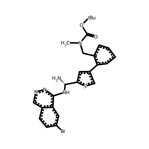 CN(Cc1ccccc1-c1csc([C@@H](N)Nc2nncc3ccc(Br)cc23)c1)C(=O)OC(C)(C)C